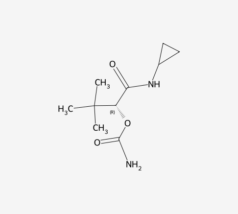 CC(C)(C)[C@@H](OC(N)=O)C(=O)NC1CC1